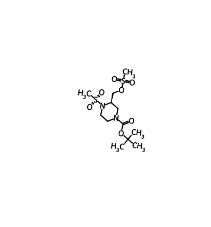 CC(C)(C)OC(=O)N1CCN(S(C)(=O)=O)[C@@H](COS(C)(=O)=O)C1